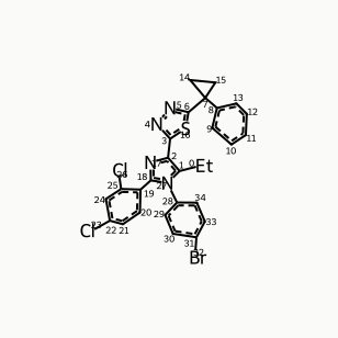 CCc1c(-c2nnc(C3(c4ccccc4)CC3)s2)nc(-c2ccc(Cl)cc2Cl)n1-c1ccc(Br)cc1